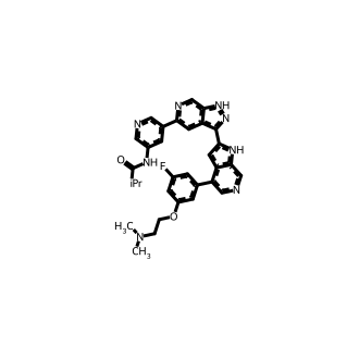 CC(C)C(=O)Nc1cncc(-c2cc3c(-c4cc5c(-c6cc(F)cc(OCCN(C)C)c6)cncc5[nH]4)n[nH]c3cn2)c1